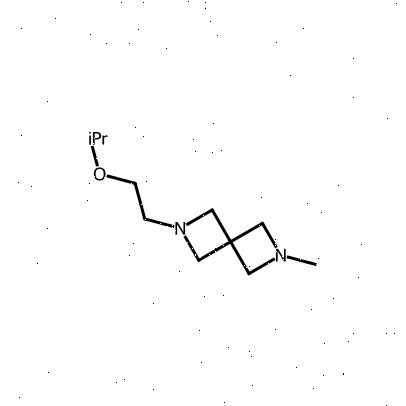 CC(C)OCCN1CC2(CN(C)C2)C1